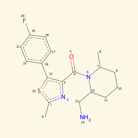 Cc1nc(C(=O)N2C(C)CCCC2CN)c(-c2ccc(F)cc2)s1